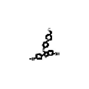 O=CC1CCN(c2ccc(Oc3c(-c4ccc(O)cc4)sc4cc(O)ccc34)cc2)CC1